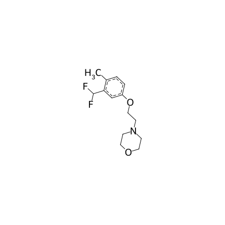 Cc1ccc(OCCN2CCOCC2)cc1C(F)F